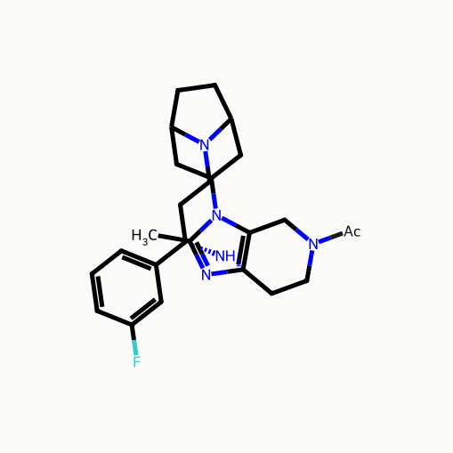 CC(=O)N1CCc2nc(C)n(C3CC4CCC(C3)N4CC[C@H](N)c3cccc(F)c3)c2C1